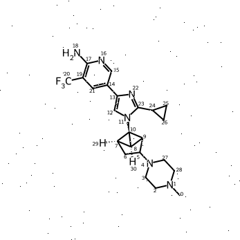 CN1CCN(C2C[C@@H]3[C@@H]4C2[C@@]34n2cc(-c3cnc(N)c(C(F)(F)F)c3)nc2C2CC2)CC1